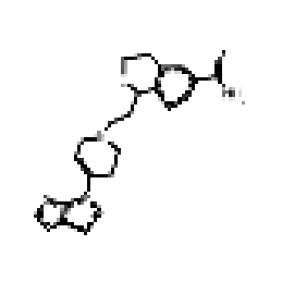 NC(=O)c1ccc2c(c1)CCOC2CCN1CC=C(n2ccc3ccsc32)CC1